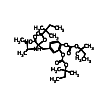 CCC(C)N[C@@](Cc1ccc(OC(=O)OC(C)(C)CC)c(OC(=O)OC(C)(C)CC)c1)(OC(=O)C(C)(C)CC)C(=O)O